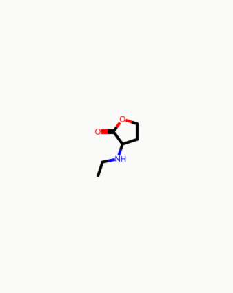 CCNC1CCOC1=O